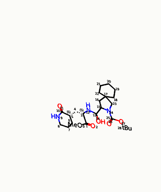 COC(=O)[C@H](C[C@@H]1CCCNC1=O)NC(O)C1CC2(CCCCC2)CN1C(=O)OC(C)(C)C